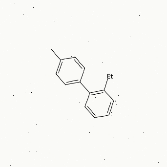 CCc1[c]cccc1-c1ccc(C)cc1